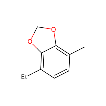 CCc1ccc(C)c2c1OCO2